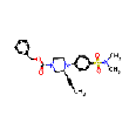 CC#CC1CN(C(=O)OCc2ccccc2)CCN1c1ccc(S(=O)(=O)N(C)C)cc1